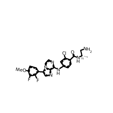 COc1ccc(-c2cnc3c(Nc4ccc(C(=O)N[C@@H](C)CN)c(Cl)c4)nccn23)c(F)c1F